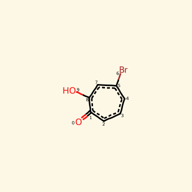 O=c1cccc(Br)cc1O